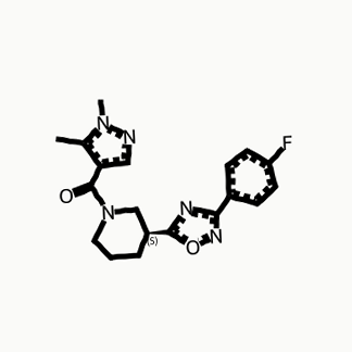 Cc1c(C(=O)N2CCC[C@H](c3nc(-c4ccc(F)cc4)no3)C2)cnn1C